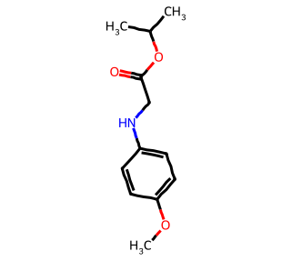 COc1ccc(NCC(=O)OC(C)C)cc1